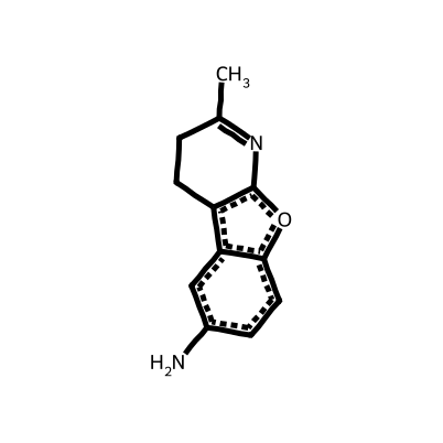 CC1=Nc2oc3ccc(N)cc3c2CC1